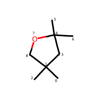 CC1(C)[CH]C(C)(C)OC1